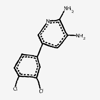 Nc1cc(-c2ccc(Cl)c(Cl)c2)cnc1N